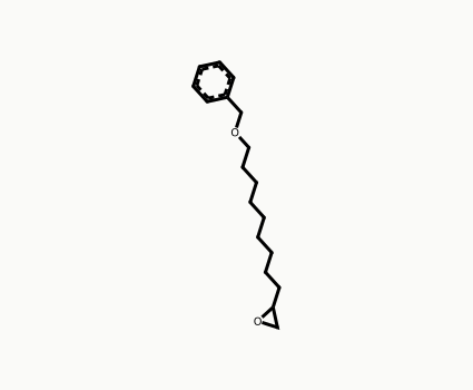 c1ccc(COCCCCCCCCCC2CO2)cc1